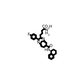 N[C@H](CCCC1=NC2=CC(C(=O)N[C@@H]3CCCc4ccccc43)=CC=C(C2)N=C1c1ccc(F)cc1)C(=O)O